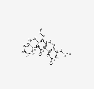 CCCOc1ccc2c(CCC)cc(=O)oc2c1C(=O)N1CCCc2ccccc21